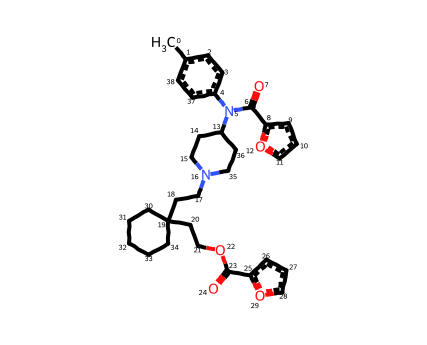 Cc1ccc(N(C(=O)c2ccco2)C2CCN(CCC3(CCOC(=O)c4ccco4)CCCCC3)CC2)cc1